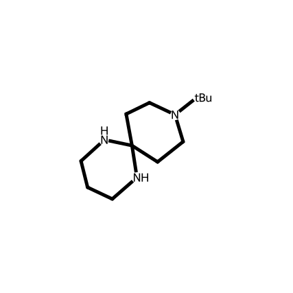 CC(C)(C)N1CCC2(CC1)NCCCN2